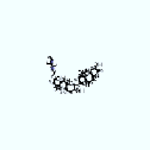 C/C=C(C)/C(C)=C/CC[C@@H]1O[C@@H]2C[C@@H]3O[C@](C)(C[C@H]4C[C@H](O)[C@@H]5O[C@@H]6C[C@H](O)[C@@H](C)O[C@@]6(C)CC[C@H]5O4)[C@@H](O)CC[C@@]3(C)O[C@H]2[C@@H](O)[C@@H]1C